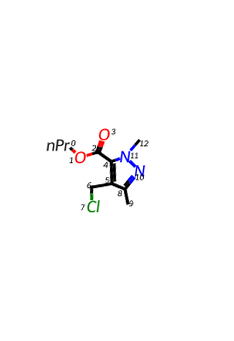 CCCOC(=O)c1c(CCl)c(C)nn1C